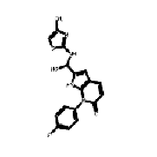 Cc1csc(NC(O)c2cc3ccc(=O)n(-c4ccc(F)cc4)c3[nH]2)n1